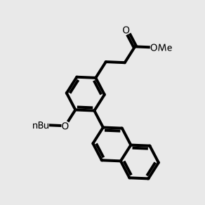 CCCCOc1ccc(CCC(=O)OC)cc1-c1ccc2ccccc2c1